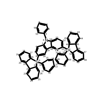 c1ccc(-n2c3ccc([Si]4(c5ccccc5)c5ccccc5-c5ccccc54)cc3c3nc([Si]4(c5ccccc5)c5ccccc5-c5ccccc54)ccc32)cc1